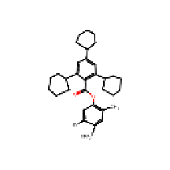 Cc1cc(S(=O)(=O)O)c(C(C)C)cc1OC(=O)c1c(C2CCCCC2)cc(C2CCCCC2)cc1C1CCCCC1